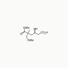 COCC(C)(CC(=N)CC(=O)O)C(=O)OC